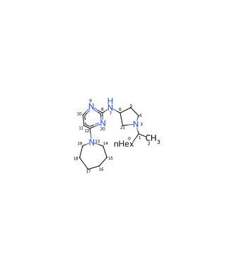 CCCCCCC(C)N1CCC(Nc2nccc(N3CCCCCC3)n2)C1